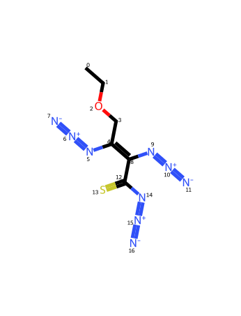 CCOC/C(N=[N+]=[N-])=C(\N=[N+]=[N-])C(=S)N=[N+]=[N-]